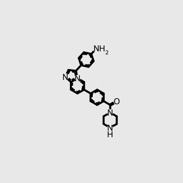 Nc1ccc(-c2cnc3ccc(-c4ccc(C(=O)N5CCNCC5)cc4)cn23)cc1